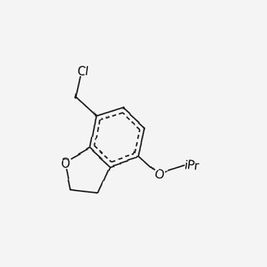 CC(C)Oc1ccc(CCl)c2c1CCO2